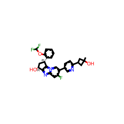 CC1(O)CC(c2ccc(-c3cn4c5c(nc4cc3F)[C@H](O)C[C@@H]5c3ccccc3OC(F)F)cn2)C1